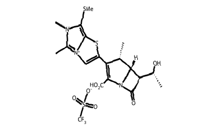 CSc1c2sc(C3=C(C(=O)O)N4C(=O)[C@H]([C@@H](C)O)[C@H]4[C@H]3C)c[n+]2c(C)n1C.O=S(=O)([O-])C(F)(F)F